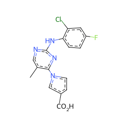 Cc1cnc(Nc2ccc(F)cc2Cl)nc1-n1ccc(C(=O)O)c1